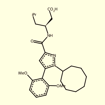 COc1cccc(OC)c1-c1cc(C(=O)N[C@H](CC(=O)O)CC(C)C)nn1C1CCCCCCC1